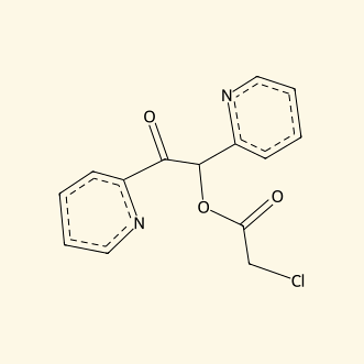 O=C(CCl)OC(C(=O)c1ccccn1)c1ccccn1